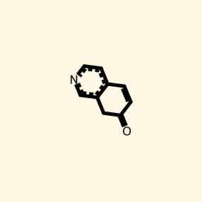 O=C1C=Cc2ccncc2C1